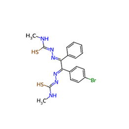 CN/C(S)=N/N=C(/C(=N/N=C(\S)NC)c1ccc(Br)cc1)c1ccccc1